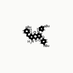 CCCCc1ccc(Cc2cc(N)c3c(c2O)C(=O)c2c(Nc4ccc(CCCC)cc4)cc(Oc4ccc(CCCC)cc4)c(O)c2C3=O)cc1